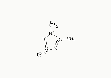 CC[n+]1cc(C)n(C)c1